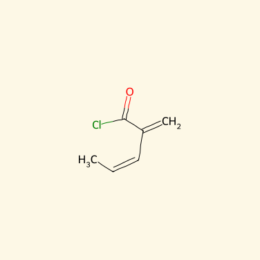 C=C(/C=C\C)C(=O)Cl